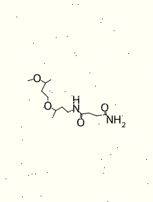 COC(C)CCOC(C)CCNC(=O)CCC(N)=O